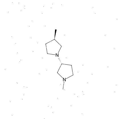 C[C@@H]1CCN([C@@H]2CCN(C)C2)C1